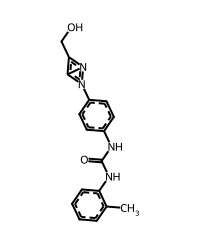 Cc1ccccc1NC(=O)Nc1ccc(-n2c3c(CO)n2-3)cc1